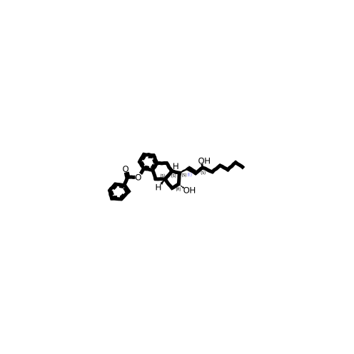 CCCCC[C@H](O)/C=C/[C@@H]1[C@H]2Cc3cccc(OC(=O)c4ccccc4)c3C[C@H]2C[C@H]1O